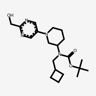 CC(C)(C)OC(=O)N(CC1CCC1)C1CCCN(c2cnc(CO)nc2)C1